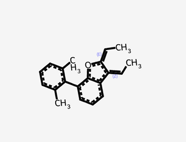 C/C=c1\c(=C/C)oc2c(-c3c(C)cccc3C)cccc12